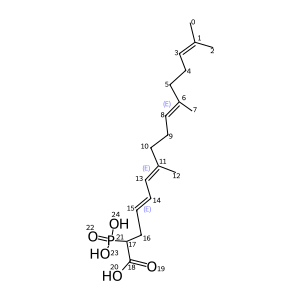 CC(C)=CCC/C(C)=C/CC/C(C)=C/C=C/CC(C(=O)O)P(=O)(O)O